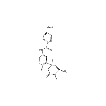 CCCCCc1cnc(C(=O)Nc2ccc(F)c(C3(C)CC(=O)N(C)C(N)=N3)c2)cn1